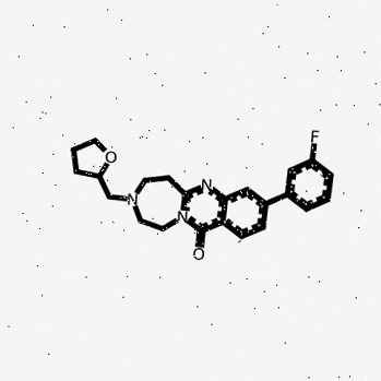 O=c1c2ccc(-c3cccc(F)c3)cc2nc2n1CCN(CC1CCCO1)CC2